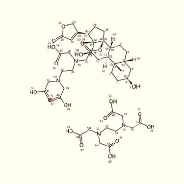 C[C@]12CC[C@H](O)C[C@H]1CC[C@@H]1[C@@H]2C[C@@H](O)[C@]2(C)[C@@H](C3=CC(=O)OC3)CC[C@]12OC(=O)CN(CCN(CC(=O)O)CC(=O)O)CC(=O)O.O=C(O)CN(CCN(CC(=O)O)CC(=O)O)CC(=O)O